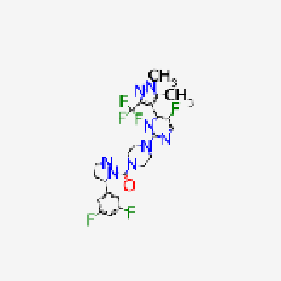 Cc1c(-c2nc(N3CCN(C(=O)N4N=CCC4c4cc(F)cc(F)c4)CC3)ncc2F)c(C(F)(F)F)nn1C